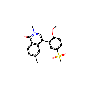 COc1ccc(S(C)(=O)=O)cc1-c1cn(C)c(=O)c2ccc(C)cc12